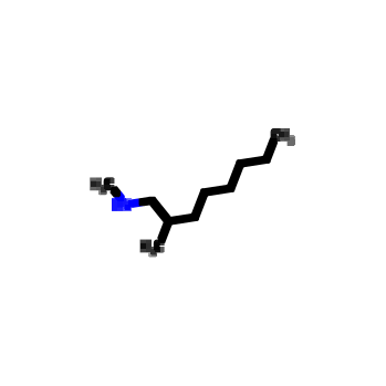 CCCCCCC(C)CNC